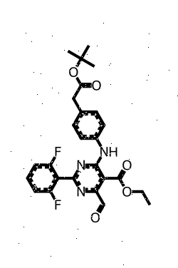 CCOC(=O)c1c(C=O)nc(-c2c(F)cccc2F)nc1Nc1ccc(CC(=O)OC(C)(C)C)cc1